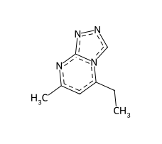 CCc1cc(C)nc2nncn12